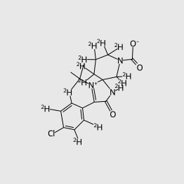 [2H]c1c([2H])c(C2=[N+](C(C)(C)C)C3(N([2H])C2=O)C([2H])([2H])N(C(=O)[O-])C([2H])([2H])C([2H])([2H])C3([2H])[2H])c([2H])c([2H])c1Cl